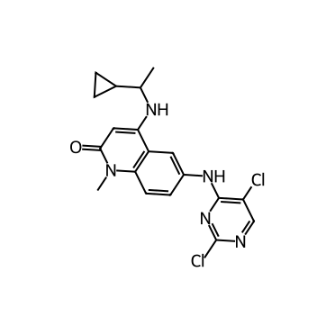 CC(Nc1cc(=O)n(C)c2ccc(Nc3nc(Cl)ncc3Cl)cc12)C1CC1